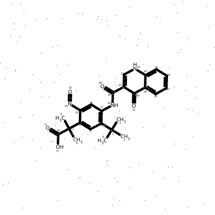 CC(C)(C)c1cc(C(C)(C)C(=O)O)c(N=O)cc1NC(=O)c1c[nH]c2ccccc2c1=O